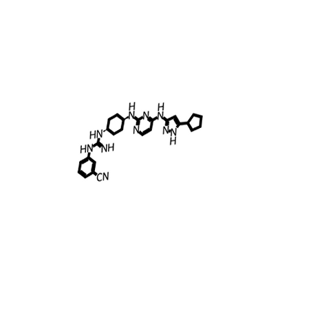 N#Cc1cccc(NC(=N)N[C@H]2CC[C@H](Nc3nccc(Nc4cc(C5CCCC5)[nH]n4)n3)CC2)c1